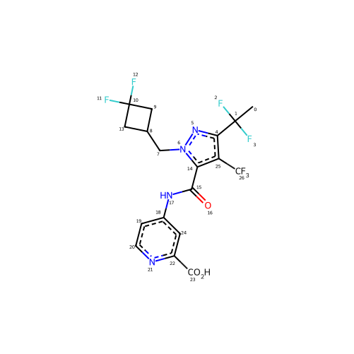 CC(F)(F)c1nn(CC2CC(F)(F)C2)c(C(=O)Nc2ccnc(C(=O)O)c2)c1C(F)(F)F